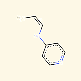 C/C=C\Nc1ccncc1